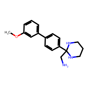 COc1cccc(-c2ccc(C3(CN)NCCCN3)cc2)c1